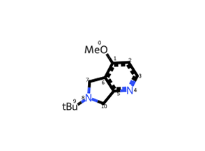 COc1ccnc2c1CN(C(C)(C)C)C2